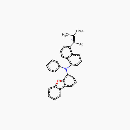 CO/C(C)=C(\C(C)=O)c1cccc2c(N(c3ccccc3)c3cccc4c3oc3ccccc34)cccc12